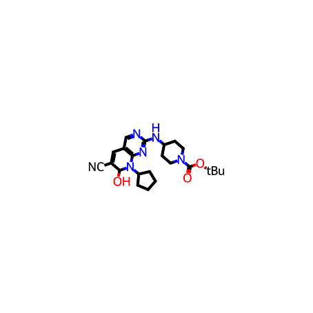 CC(C)(C)OC(=O)N1CCC(Nc2ncc3c(n2)N(C2CCCC2)C(O)C(C#N)=C3)CC1